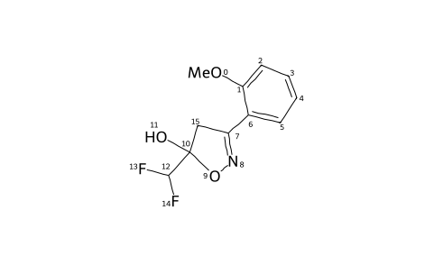 COc1ccccc1C1=NOC(O)(C(F)F)C1